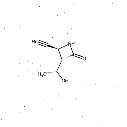 C#C[C@H]1NC(=O)[C@@H]1[C@@H](C)O